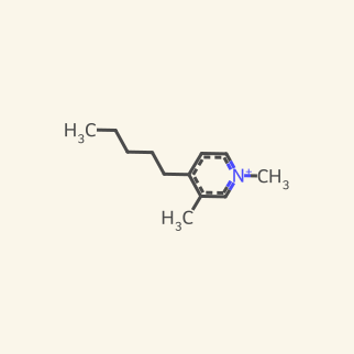 CCCCCc1cc[n+](C)cc1C